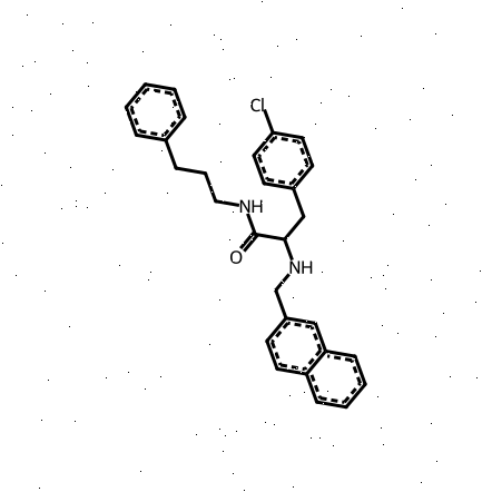 O=C(NCCCc1ccccc1)C(Cc1ccc(Cl)cc1)NCc1ccc2ccccc2c1